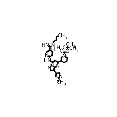 CCCCNC(=N)c1ccc(Nc2cc(C3CCCN(C(=O)OC(C)(C)C)C3)nc3c(-c4cnn(C)c4)cnn23)nc1